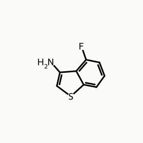 Nc1csc2cccc(F)c12